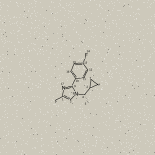 Cc1cn([C@@H](C)C2CC2)c(-c2ccc(F)cc2)n1